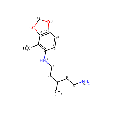 Cc1c(NCCC(C)CCN)ccc2c1OCO2